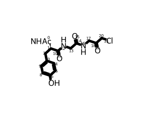 CC(=O)N[C@@H](Cc1ccc(O)cc1)C(=O)NCC(=O)NCC(=O)CCl